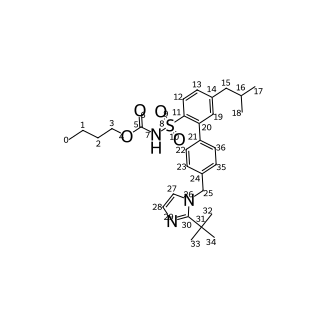 CCCCOC(=O)NS(=O)(=O)c1ccc(CC(C)C)cc1-c1ccc(Cn2ccnc2C(C)(C)C)cc1